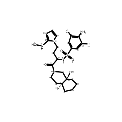 Nc1c(Cl)cc(S(=O)(=O)NC(CCn2ccnc2NO)C(=O)N2CC[C@@H]3CCCC[C@H]3C2)cc1Cl